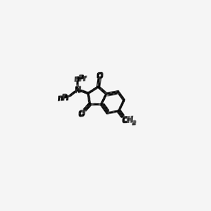 C=C1C=C2C(=O)C(N(CCC)CCC)C(=O)C2=CC1